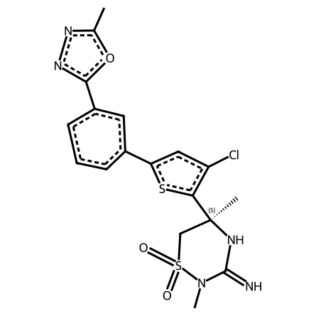 Cc1nnc(-c2cccc(-c3cc(Cl)c([C@]4(C)CS(=O)(=O)N(C)C(=N)N4)s3)c2)o1